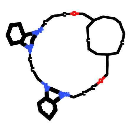 c1ccc2c(c1)n1c[n+]2CCCOCC2CCCCCCC(CCCC2)COCCC[n+]2cn(c3ccccc32)CCC1